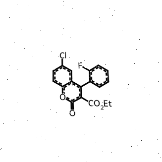 CCOC(=O)c1c(-c2ccccc2F)c2cc(Cl)ccc2oc1=O